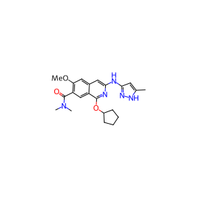 COc1cc2cc(Nc3cc(C)[nH]n3)nc(OC3CCCC3)c2cc1C(=O)N(C)C